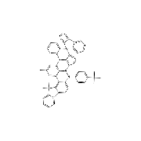 Cc1cc2c3c(c1)N1c4ccccc4C4(c5ccccc5-c5ccccc54)c4cccc(c41)B3N(c1ccc(C(C)(C)C)cc1)c1ccc3c(c1-2)C(C)(C)c1ccccc1-3